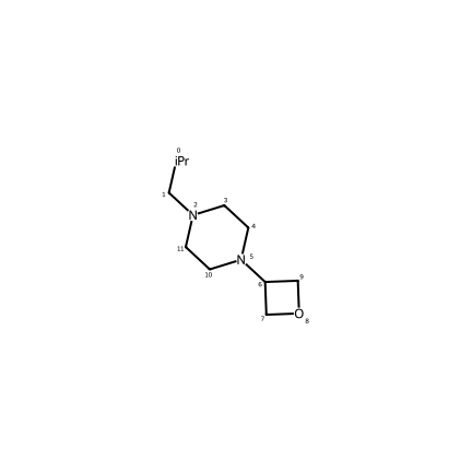 CC(C)CN1CCN(C2COC2)CC1